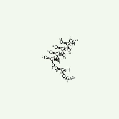 [Ca+2].[Ga+3].[O]=[GeH][O-].[O]=[GeH][O-].[O]=[GeH][O-].[O]=[GeH][O-].[O]=[GeH][O-]